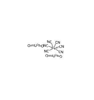 N#[C][Fe-4]([C]#N)([C]#N)([C]#N)([C]#N)[C]#N.[O]=[U+2]=[O].[O]=[U+2]=[O]